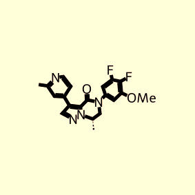 COc1cc(N2C[C@H](C)n3ncc(-c4ccnc(C)c4)c3C2=O)cc(F)c1F